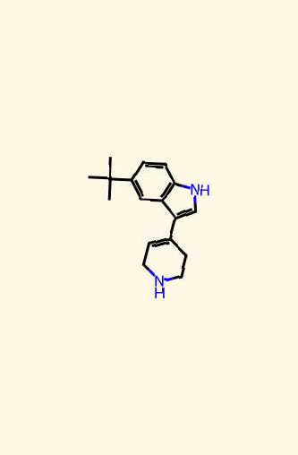 CC(C)(C)c1ccc2[nH]cc(C3=CCNCC3)c2c1